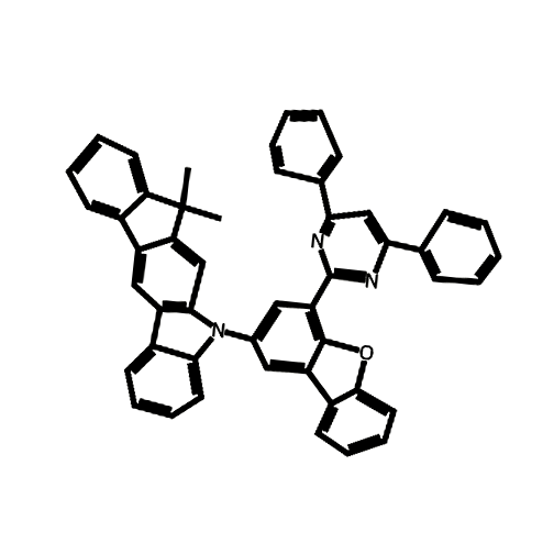 CC1(C)c2ccccc2-c2cc3c4ccccc4n(-c4cc(-c5nc(-c6ccccc6)cc(-c6ccccc6)n5)c5oc6ccccc6c5c4)c3cc21